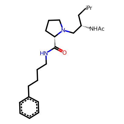 CC(=O)N[C@@H](CC(C)C)CN1CCC[C@H]1C(=O)NCCCCc1ccccc1